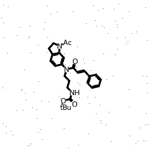 CC(=O)N1CCc2ccc(N(CCCNC(=O)OC(C)(C)C)C(=O)C=Cc3ccccc3)cc21